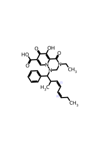 CC/C=C\C=C/C(C)C(c1ccccc1)N1CN(CC)C(=O)c2c(O)c(=O)c(C(=O)O)cn21